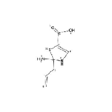 C=CCC1(N)NC=C(C(=O)O)S1